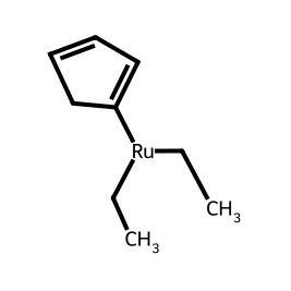 C[CH2][Ru]([CH2]C)[C]1=CC=CC1